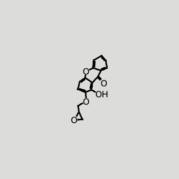 O=c1c2ccccc2oc2ccc(OCC3CO3)c(O)c12